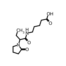 CCC(C(=O)NCCCCC(=O)O)N1CCCC1=O